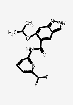 CC(C)Oc1cc2n[nH]cc2cc1C(=O)Nc1cccc(C(F)F)n1